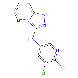 Clc1cc(Nc2n[nH]c3cccnc23)cnc1Cl